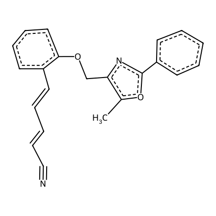 Cc1oc(-c2ccccc2)nc1COc1ccccc1/C=C/C=C/C#N